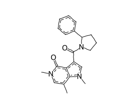 Cc1cn(C)c(=O)c2c(C(=O)N3CCCC3c3ccccc3)cn(C)c12